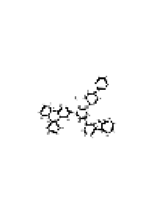 CC1C=C(c2ccccc2)C=CC1c1nc(-c2ccc3c4ccccc4c4ccccc4c3c2)nc(-c2cccc3c2oc2ccccc23)n1